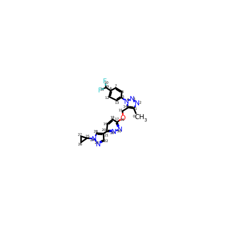 Cc1nnn(-c2ccc(C(F)F)cc2)c1COc1ccc(-c2cnn(C3CC3)c2)nn1